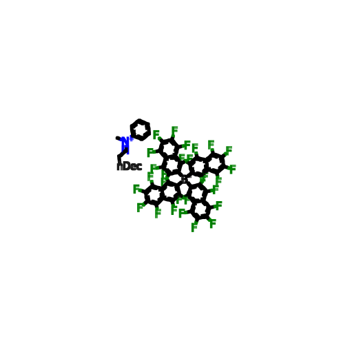 CCCCCCCCCCCC[NH+](C)c1ccccc1.Fc1c(F)c(F)c2c(F)c([B-](c3c(F)c(F)c4c(F)c(F)c(F)c(F)c4c3F)(c3c(F)c(F)c4c(F)c(F)c(F)c(F)c4c3F)c3c(F)c(F)c4c(F)c(F)c(F)c(F)c4c3F)c(F)c(F)c2c1F